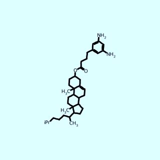 CC(C)CCCC(C)C1CCC2C3CC=C4CC(OC(=O)CCCc5cc(N)cc(N)c5)CCC4(C)C3CCC12C